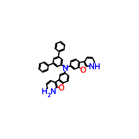 C/C=C\c1c(N)oc2ccc(N(c3cc(-c4ccccc4)cc(-c4ccccc4)c3)c3ccc4c5c(oc4c3)NCC=C5)cc12